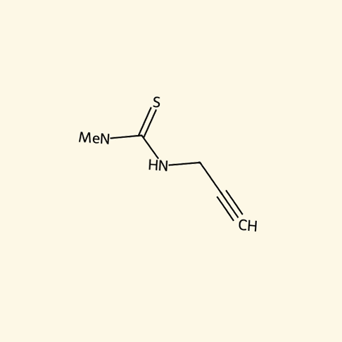 C#CCNC(=S)NC